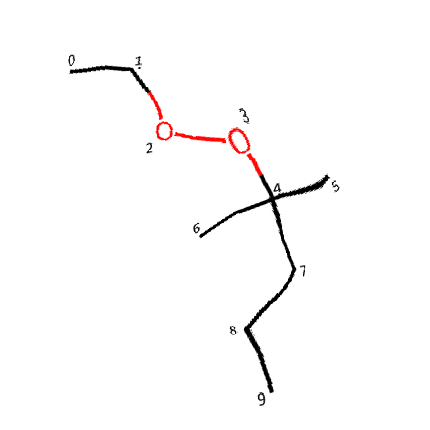 C[CH]OOC(C)(C)CCC